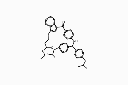 CCOC(=O)CCCc1cc(C(=O)c2ccc(NC(c3ccc(CC(C)C)cc3)c3ccc(CC(C)C)cc3)cc2)c2ccccn12